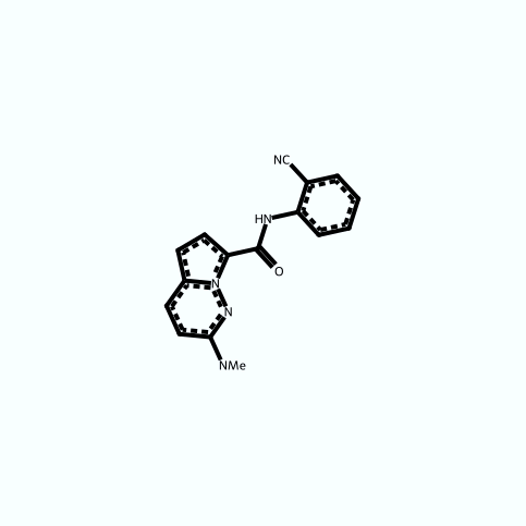 CNc1ccc2ccc(C(=O)Nc3ccccc3C#N)n2n1